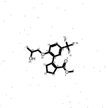 COC(=O)C1=C(c2cc(C(F)(F)F)ccc2OCC(C)O)CCC1